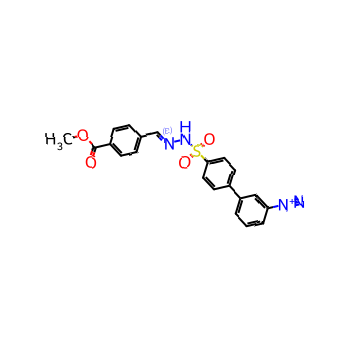 COC(=O)c1ccc(/C=N/NS(=O)(=O)c2ccc(-c3cccc([N+]#N)c3)cc2)cc1